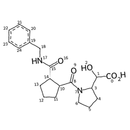 O=C(O)C(O)C1CCCN1C(=O)C1CCC[C@@H]1C(=O)NCc1ccccc1